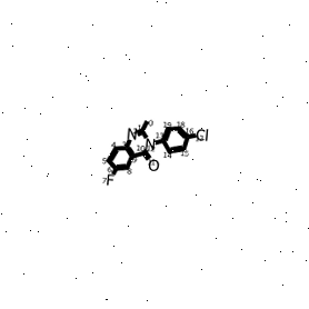 Cc1nc2ccc(F)cc2c(=O)n1-c1ccc(Cl)cc1